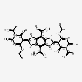 CCOC1=NC(=O)N(C(C)=O)C(=O)C1=C1Sc2c(c(C(=O)O)c3c(c2C(=O)O)SC(=C2C(=O)N(C(C)=O)C(=O)N=C2OCC)S3)S1